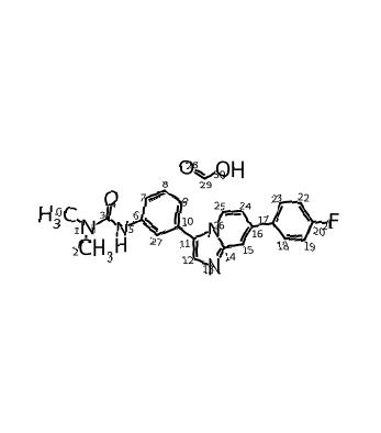 CN(C)C(=O)Nc1cccc(-c2cnc3cc(-c4ccc(F)cc4)ccn23)c1.O=CO